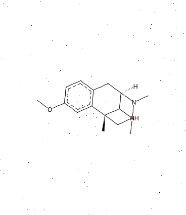 CNC1[C@H]2Cc3ccc(OC)cc3[C@@]1(C)CCN2C